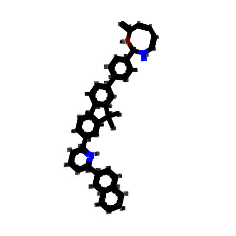 C=C1/C=C\C=C/NC(c2ccc(-c3ccc4c(c3)C(C)(C)c3cc(-c5cccc(-c6ccc7ccccc7c6)n5)ccc3-4)cc2)S1